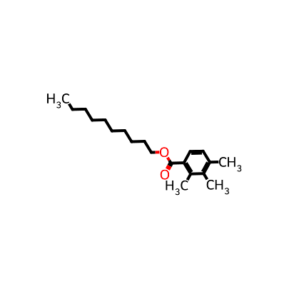 CCCCCCCCCCOC(=O)c1ccc(C)c(C)c1C